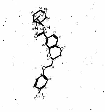 Cc1ccc(OC[C@@H]2COc3ccc(C(=O)N[C@H]4CN5CCC4CC5)cc3O2)cc1